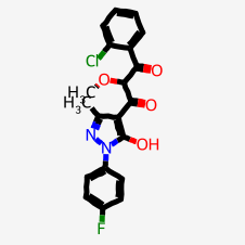 COC(C(=O)c1ccccc1Cl)C(=O)c1c(C)nn(-c2ccc(F)cc2)c1O